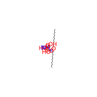 CCCCCCCCCCCCOCCCCCCCCCCCC.N.N.O=C(O)CC(C(=O)O)S(=O)(=O)O